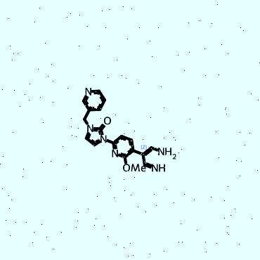 COc1nc(-n2ccn(Cc3cccnc3)c2=O)ccc1/C(C=N)=C/N